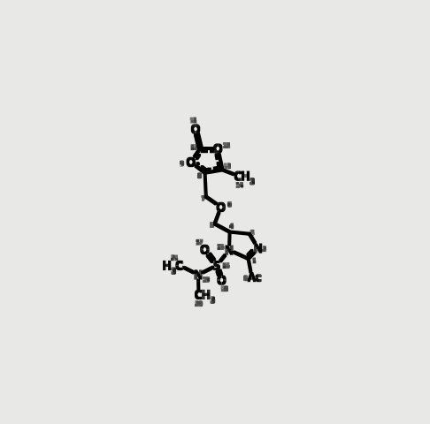 CC(=O)C1=NCC(COCc2oc(=O)oc2C)N1S(=O)(=O)N(C)C